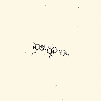 CCCc1nc(C)cn2nc(-c3cc(=O)n4cc(N5CCN(CC)CC5)ccc4n3)cc12